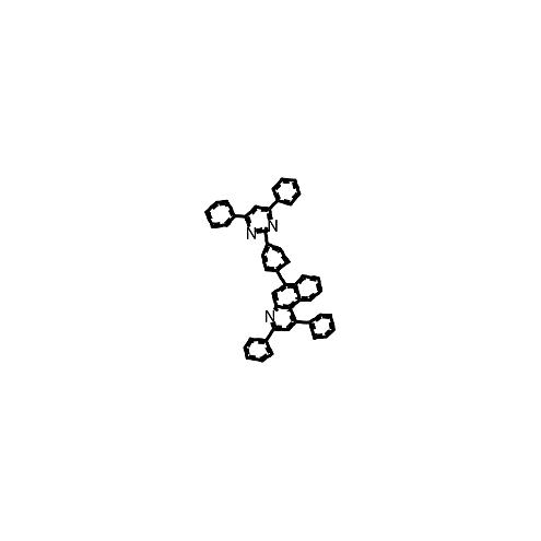 c1ccc(-c2cc(-c3ccccc3)nc(-c3ccc(-c4cc5nc(-c6ccccc6)cc(-c6ccccc6)c5c5ccccc45)cc3)n2)cc1